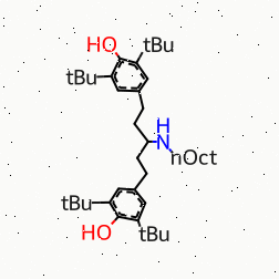 CCCCCCCCNC(CCc1cc(C(C)(C)C)c(O)c(C(C)(C)C)c1)CCc1cc(C(C)(C)C)c(O)c(C(C)(C)C)c1